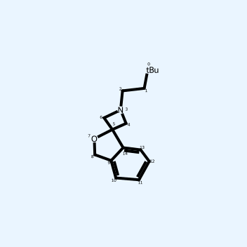 CC(C)(C)CCN1CC2(C1)OCc1ccccc12